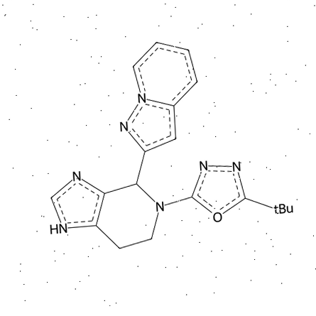 CC(C)(C)c1nnc(N2CCc3[nH]cnc3C2c2cc3ccccn3n2)o1